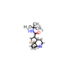 CC(C)(C)NC(=O)C1CSC23CC=CC=C2N=CCC13